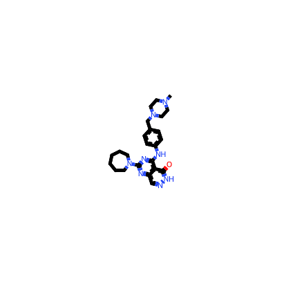 CN1CCN(Cc2ccc(Nc3nc(N4CCCCCC4)nc4cn[nH]c(=O)c34)cc2)CC1